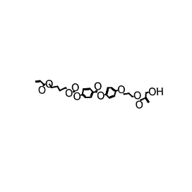 C=CC(=O)OCCCCOC(=O)Oc1ccc(C(=O)Oc2ccc(OCCCOC(=O)C(=C)CO)cc2)cc1